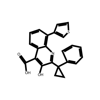 O=C(O)c1c(O)c(C2(c3ccccc3)CC2)nc2c(-c3ccsc3)cccc12